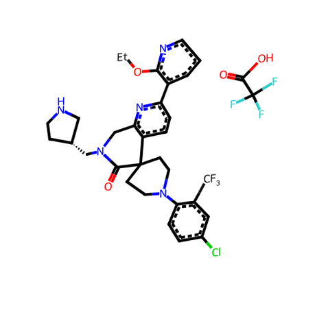 CCOc1ncccc1-c1ccc2c(n1)CN(C[C@@H]1CCNC1)C(=O)C21CCN(c2ccc(Cl)cc2C(F)(F)F)CC1.O=C(O)C(F)(F)F